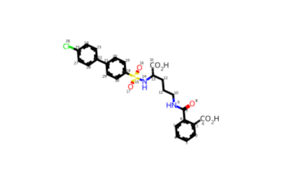 O=C(O)c1ccccc1C(=O)NCCCC(NS(=O)(=O)c1ccc(-c2ccc(Cl)cc2)cc1)C(=O)O